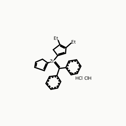 CCC1=C(CC)C[C]([Zr]([C]2=CC=CC2)=[C](c2ccccc2)c2ccccc2)=C1.Cl.Cl